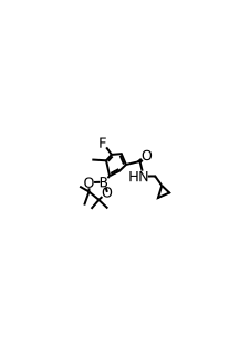 Cc1c(F)cc(C(=O)NCC2CC2)cc1B1OC(C)(C)C(C)(C)O1